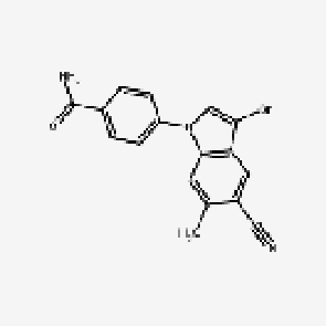 Cc1cc2c(cc1C#N)c(Br)cn2-c1ccc(C(N)=O)cc1